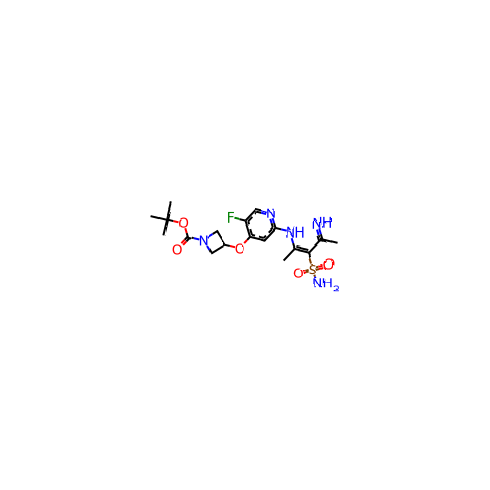 CC(=N)/C(=C(/C)Nc1cc(OC2CN(C(=O)OC(C)(C)C)C2)c(F)cn1)S(N)(=O)=O